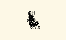 COc1ccc(C2C(=O)c3ccc(CO)cc3C2=O)cc1OC1CCCC1